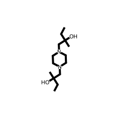 CCC(C)(O)CN1CCN(CC(C)(O)CC)CC1